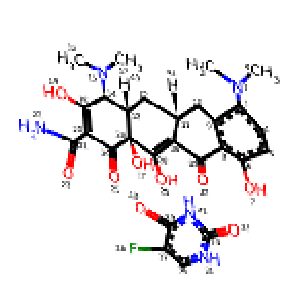 CN(C)c1ccc(O)c2c1C[C@H]1C[C@H]3[C@H](N(C)C)C(O)=C(C(N)=O)C(=O)[C@@]3(O)C(O)=C1C2=O.O=c1[nH]cc(F)c(=O)[nH]1